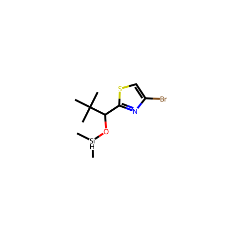 C[SiH](C)OC(c1nc(Br)cs1)C(C)(C)C